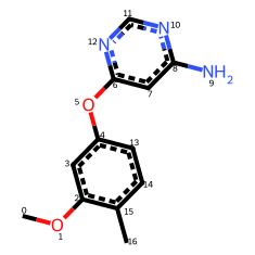 COc1cc(Oc2cc(N)ncn2)ccc1C